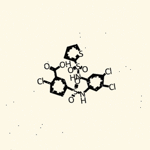 O=C(O)c1cc(S(=O)(=O)Nc2cc(Cl)c(Cl)cc2NS(=O)(=O)c2cccs2)ccc1Cl